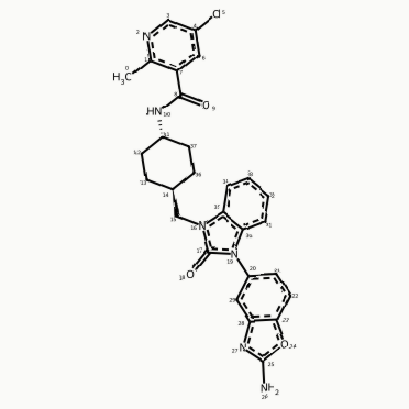 Cc1ncc(Cl)cc1C(=O)N[C@H]1CC[C@H](Cn2c(=O)n(-c3ccc4oc(N)nc4c3)c3ccccc32)CC1